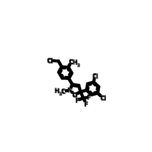 Cc1cc(C2=CC(c3cc(Cl)cc(Cl)c3)(C(F)(F)F)ON2C)ccc1CCl